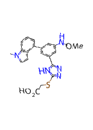 CONc1cc(-c2nnc(SCC(=O)O)[nH]2)cc(-c2cccc3c2ccn3C)c1